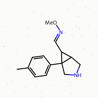 CON=CC1C2CNCC12c1ccc(C)cc1